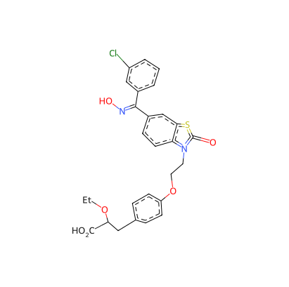 CCOC(Cc1ccc(OCCn2c(=O)sc3cc(C(=NO)c4cccc(Cl)c4)ccc32)cc1)C(=O)O